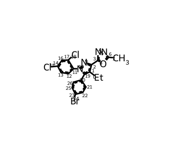 CCc1c(-c2nnc(C)o2)nn(-c2ccc(Cl)cc2Cl)c1-c1ccc(Br)cc1